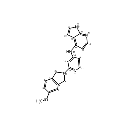 COc1ccc2c(c1)CN(c1nccc(Nc3ccnc4[nH]ccc34)n1)C2